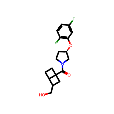 O=C(N1CC[C@@H](Oc2cc(F)ccc2F)C1)C12CCC1C(CO)C2